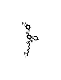 O=C(CCCCC[C@@H](F)CF)Nc1ccc(NCc2ccc(C(F)(F)F)cc2)cc1N1CCCCC1